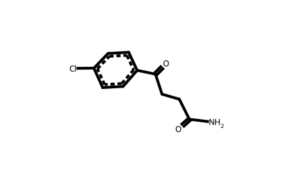 NC(=O)CCC(=O)c1ccc(Cl)cc1